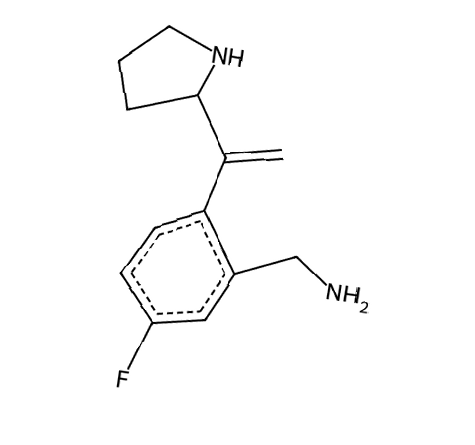 C=C(c1ccc(F)cc1CN)C1CCCN1